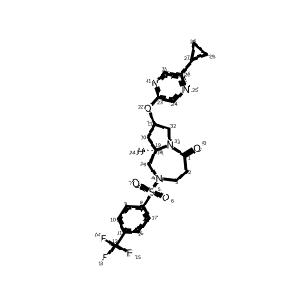 O=C1CCN(S(=O)(=O)c2ccc(C(F)(F)F)cc2)C[C@H]2CC(Oc3cnc(C4CC4)cn3)CN12